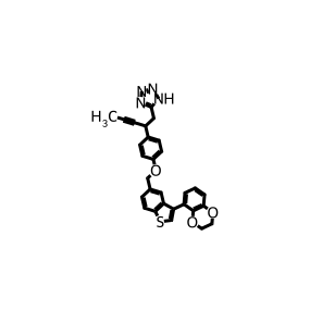 CC#CC(Cc1nnn[nH]1)c1ccc(OCc2ccc3scc(-c4cccc5c4OCCO5)c3c2)cc1